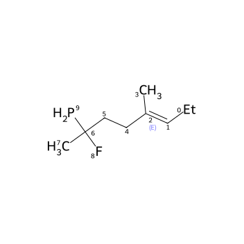 CC/C=C(\C)CCC(C)(F)P